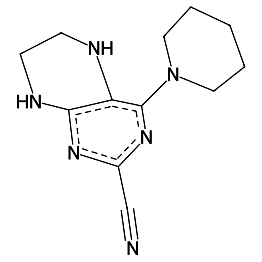 N#Cc1nc2c(c(N3CCCCC3)n1)NCCN2